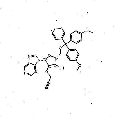 C#CCO[C@@H]1[C@H](O)[C@@H](COC(c2ccccc2)(c2ccc(OC)cc2)c2ccc(OC)cc2)O[C@H]1n1cnc2cncnc21